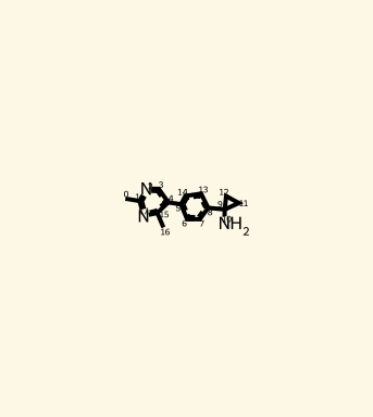 Cc1ncc(-c2ccc(C3(N)CC3)cc2)c(C)n1